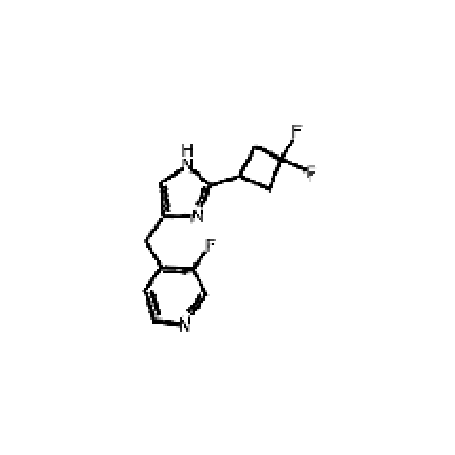 Fc1cnccc1Cc1c[nH]c(C2CC(F)(F)C2)n1